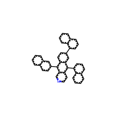 c1ccc2cc(-c3c4cnccc4c(-c4cccc5ccccc45)c4cc(-c5cccc6ccccc56)ccc34)ccc2c1